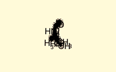 CC(C)(NC(=O)O)c1ccc(-c2ncc(NC(=O)CC3CCC(N4CCCC4=O)CC3)cc2-c2ccccc2)cc1